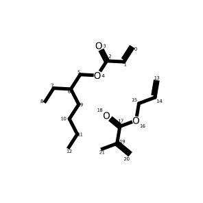 C=CC(=O)OCC(CC)CCCC.C=CCOC(=O)C(=C)C